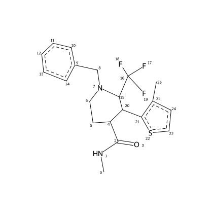 CNC(=O)C1CCN(Cc2ccccc2)C(C(F)(F)F)C1c1sccc1C